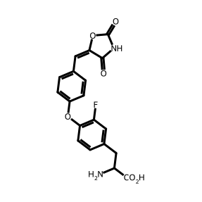 NC(Cc1ccc(Oc2ccc(C=C3OC(=O)NC3=O)cc2)c(F)c1)C(=O)O